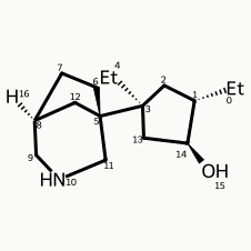 CC[C@H]1C[C@](CC)([C@]23CC[C@H](CNC2)C3)C[C@@H]1O